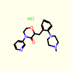 CN1CCN(c2ccccc2CC2OCCN(c3cccnc3)C2=O)CC1.Cl